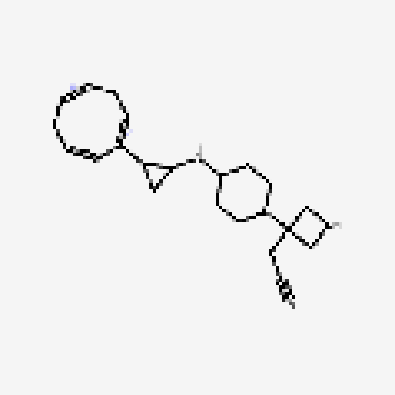 N#CCC1(N2CCC(NC3CC3/C3=C/C/C=C\CC=C3)CC2)CNC1